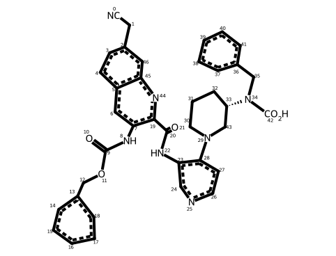 N#CCc1ccc2cc(NC(=O)OCc3ccccc3)c(C(=O)Nc3cnccc3N3CCC[C@H](N(Cc4ccccc4)C(=O)O)C3)nc2c1